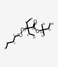 CCCCOOC(CC)(CC)C(=O)OC(C)(C)CC